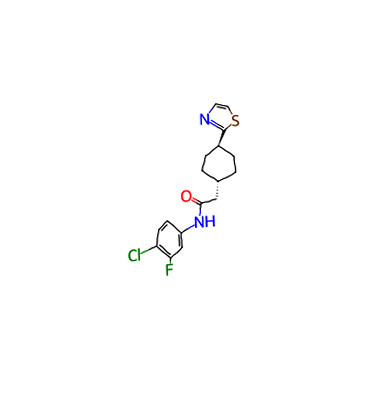 O=C(C[C@H]1CC[C@H](c2nccs2)CC1)Nc1ccc(Cl)c(F)c1